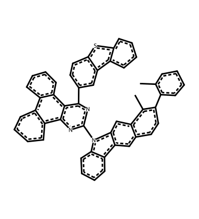 Cc1ccccc1-c1ccc2cc3c4ccccc4n(-c4nc(-c5ccc6sc7ccccc7c6c5)c5c6ccccc6c6ccccc6c5n4)c3cc2c1C